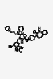 Nc1c(Br)cc(C[C@@H](NC(=O)ON2CCC(N3CCc4ccccc4NC3=O)CC2)c2nc3ccccc3n2CCCN2CCCC2)cc1Br